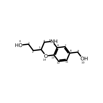 OCCC1CNc2cc(CO)ccc2O1